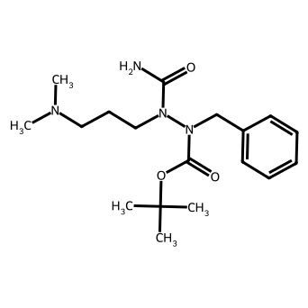 CN(C)CCCN(C(N)=O)N(Cc1ccccc1)C(=O)OC(C)(C)C